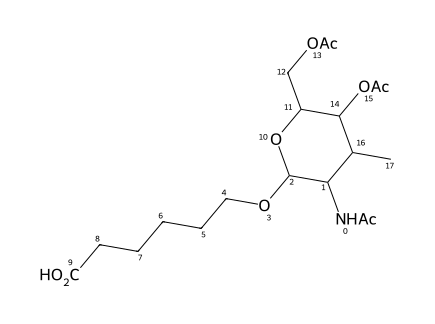 CC(=O)NC1C(OCCCCCC(=O)O)OC(COC(C)=O)C(OC(C)=O)C1C